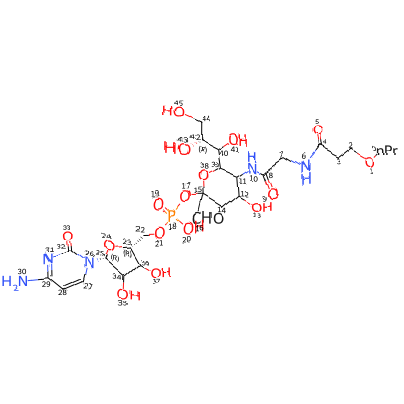 CCCOCCC(=O)NCC(=O)NC1C(O)CC(C=O)(OP(=O)(O)OC[C@H]2O[C@@H](n3ccc(N)nc3=O)C(O)C2O)OC1C(O)[C@H](O)CO